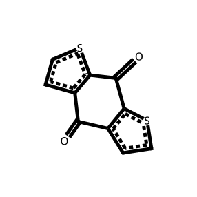 O=C1c2ccsc2C(=O)c2sccc21